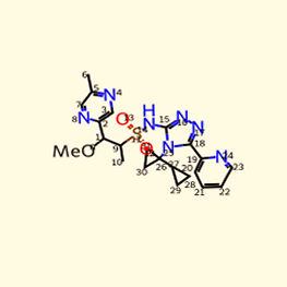 COC(c1cnc(C)cn1)C(C)S(=O)(=O)Nc1nnc(-c2ccccn2)n1C1(C2CC2)CC1